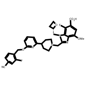 COc1cc(C(=O)O)c(F)c2c1nc(CN1CCC(c3cccc(OCc4ccc(C#N)cc4F)n3)CC1)n2C[C@@H]1CCO1